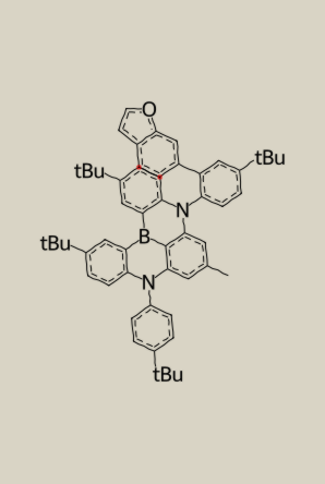 Cc1cc2c3c(c1)N(c1ccc(C(C)(C)C)cc1-c1ccc4ccoc4c1)c1ccc(C(C)(C)C)cc1B3c1cc(C(C)(C)C)ccc1N2c1ccc(C(C)(C)C)cc1